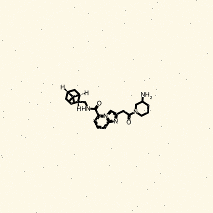 CC1(C)[C@@H]2CC[C@@H](CNC(=O)c3cccc4nc(CC(=O)N5CCCC(N)C5)cn34)[C@@H]1C2